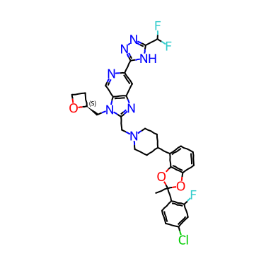 CC1(c2ccc(Cl)cc2F)Oc2cccc(C3CCN(Cc4nc5cc(-c6nnc(C(F)F)[nH]6)ncc5n4C[C@@H]4CCO4)CC3)c2O1